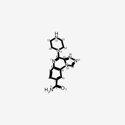 NC(=O)c1ccc2nc(N3CCNCC3)c3nncn3c2c1